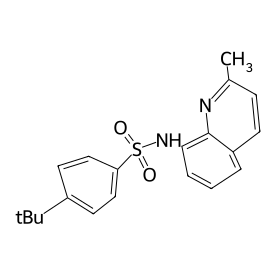 Cc1ccc2cccc(NS(=O)(=O)c3ccc(C(C)(C)C)cc3)c2n1